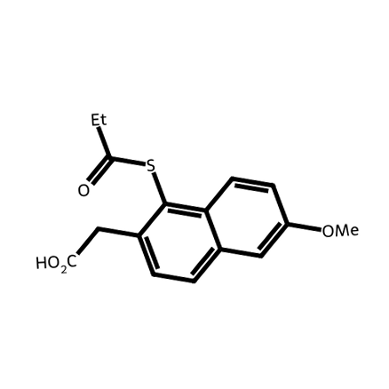 CCC(=O)Sc1c(CC(=O)O)ccc2cc(OC)ccc12